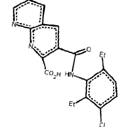 CCc1ccc(Cl)c(CC)c1NC(=O)c1cc2cccnc2nc1C(=O)O